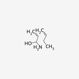 C=CC(N)O.C=CCC